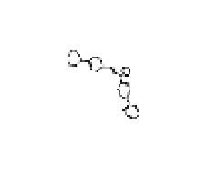 O=C(/C=C/c1ccc(C2CCCCC2)cc1)c1ccc(-c2ccccc2)cc1